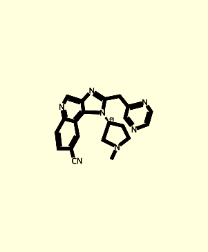 CN1CC[C@@H](n2c(Cc3cnccn3)nc3cnc4ccc(C#N)cc4c32)C1